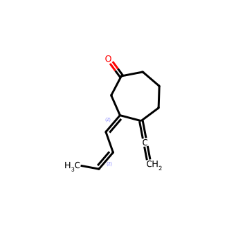 C=C=C1CCCC(=O)C/C1=C/C=C\C